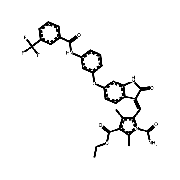 CCOC(=O)c1c(C)c(C=C2C(=O)Nc3cc(Oc4cccc(NC(=O)c5cccc(C(F)(F)F)c5)c4)ccc32)n(C(N)=O)c1C